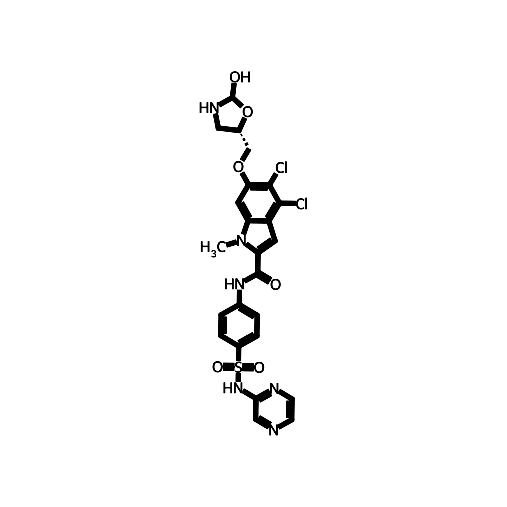 Cn1c(C(=O)Nc2ccc(S(=O)(=O)Nc3cnccn3)cc2)cc2c(Cl)c(Cl)c(OC[C@@H]3CNC(O)O3)cc21